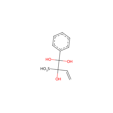 C=CC(O)(C(O)(O)c1ccccc1)S(=O)(=O)O